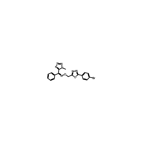 Cn1nnnc1/C(=N\OCc1nnc(-c2ccc(Br)cc2)o1)c1ccccc1